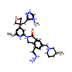 CCSc1cc(C2(Cc3nncn3C)COC2)cc(N2Cc3c(C=NN)cc(CN4CCC[C@H](C)C4)cc3C2=O)n1